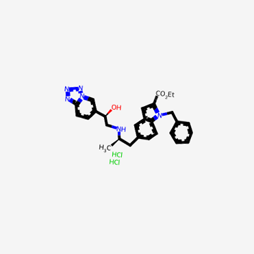 CCOC(=O)c1cc2cc(C[C@@H](C)NC[C@H](O)c3ccc4nnnn4c3)ccc2n1Cc1ccccc1.Cl.Cl